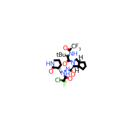 CC(C)(C)[C@H](NC(=O)C(F)(F)F)C(=O)N1C[C@@H]2CCC[C@@H]2[C@H]1C(=O)NN(C[C@H]1CCCNC1=O)C(=O)[C@H](F)Cl